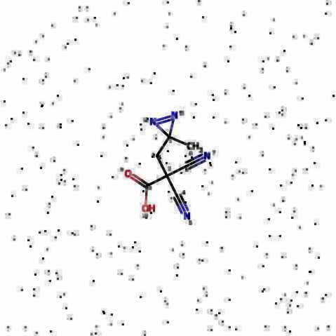 CC1(CC(C#N)(C#N)C(=O)O)N=N1